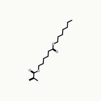 C=C(C)C(=O)OCCCCCC(=O)OCCCCCCC